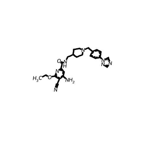 CCOc1nc(C(=O)NCC2CCN(Cc3ccc(-n4cncn4)cc3)CC2)cc(N)c1C#N